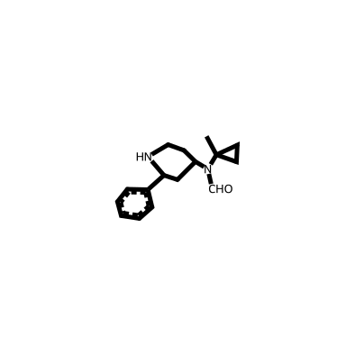 CC1(N(C=O)C2CCNC(c3ccccc3)C2)CC1